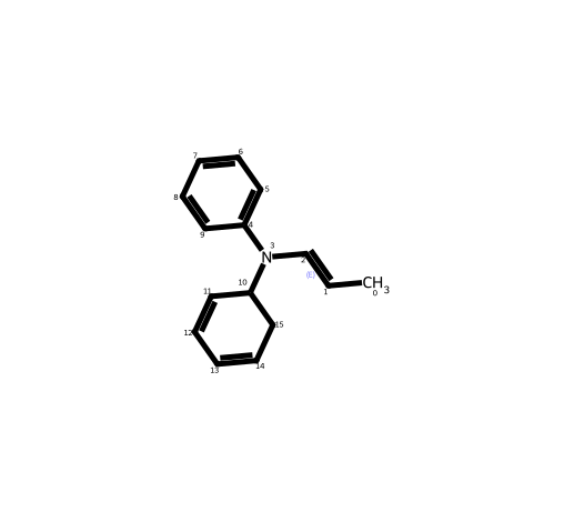 C/C=C/N(c1ccccc1)C1C=CC=CC1